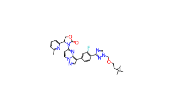 Cc1cccc(C2COC(=O)N2c2ccn3ncc(-c4ccc(-c5ncn(COCC[Si](C)(C)C)n5)c(F)c4)c3n2)n1